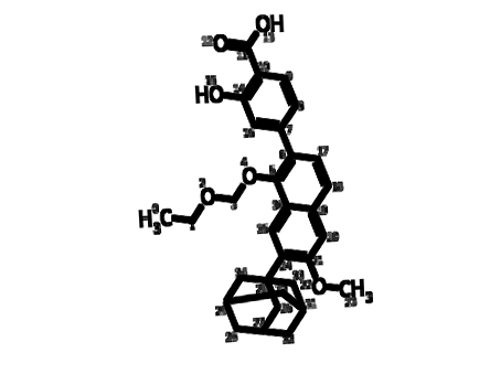 CCOCOc1c(-c2ccc(C(=O)O)c(O)c2)ccc2cc(OC)c(C34CC5CC(CC(C5)C3)C4)cc12